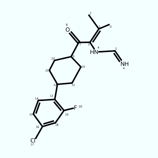 CC(C)=C(NC=N)C(=O)C1CCC(c2ccc(Cl)cc2F)CC1